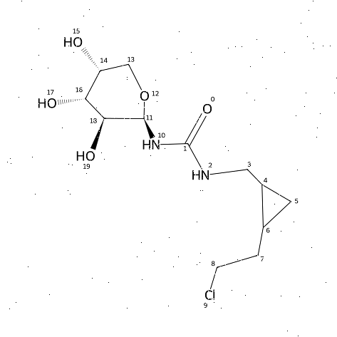 O=C(NCC1CC1CCCl)N[C@@H]1OC[C@@H](O)[C@@H](O)[C@@H]1O